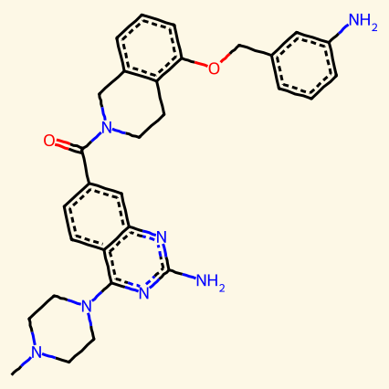 CN1CCN(c2nc(N)nc3cc(C(=O)N4CCc5c(cccc5OCc5cccc(N)c5)C4)ccc23)CC1